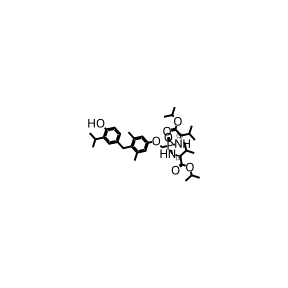 Cc1cc(OCP(=O)(N[C@H](C(=O)OC(C)C)C(C)C)N[C@H](C(=O)OC(C)C)C(C)C)cc(C)c1Cc1ccc(O)c(C(C)C)c1